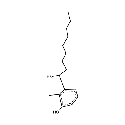 CCCCCCCCC(S)c1cccc(O)c1C